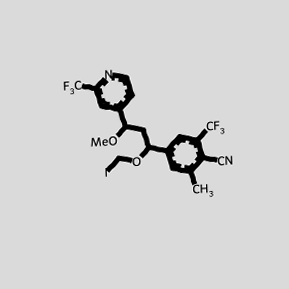 COC(CC(OCI)c1cc(C)c(C#N)c(C(F)(F)F)c1)c1ccnc(C(F)(F)F)c1